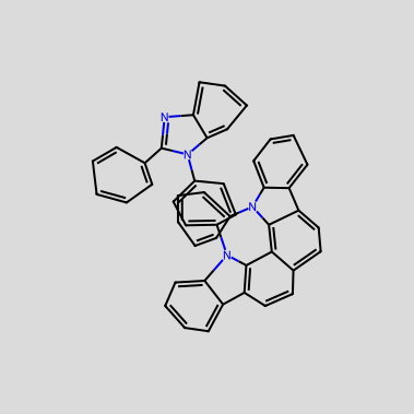 c1ccc(-c2nc3ccccc3n2-c2ccc(-n3c4ccccc4c4ccc5ccc6c7ccccc7n(-c7ccccc7)c6c5c43)cc2)cc1